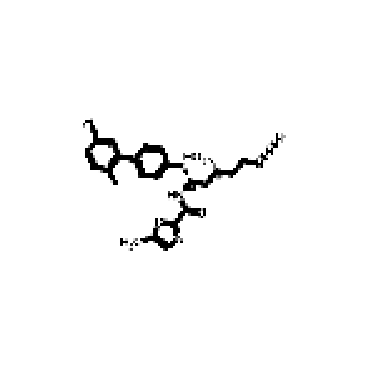 Cc1cnc(C(=O)N[C@H](Cc2ccc(-c3cc(Cl)ccc3F)cc2)C[C@@H](CCN=[N+]=[N-])C(=O)O)o1